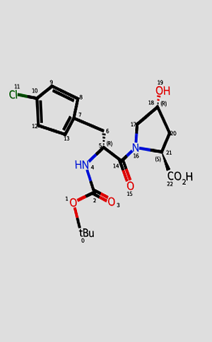 CC(C)(C)OC(=O)N[C@H](Cc1ccc(Cl)cc1)C(=O)N1C[C@H](O)C[C@H]1C(=O)O